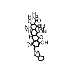 B=C1C(C(N)=O)=C(O)[C@@H](N(C)C)[C@@H]2C[C@@H]3Cc4c(c(O)cc(CN5CC6CCCCC6C5)c4N(C)C)C(=O)C3=C(O)[C@]12P